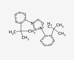 CC(C)(C)c1ccccc1-n1cc[n+](-c2ccccc2C(C)(C)C)c1